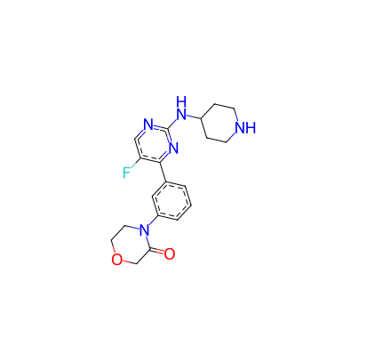 O=C1COCCN1c1cccc(-c2nc(NC3CCNCC3)ncc2F)c1